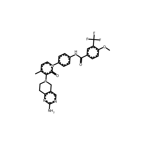 COc1ccc(C(=O)Nc2ccc(-n3ccc(C)c(N4CCc5nc(N)ncc5C4)c3=O)cc2)cc1C(F)(F)F